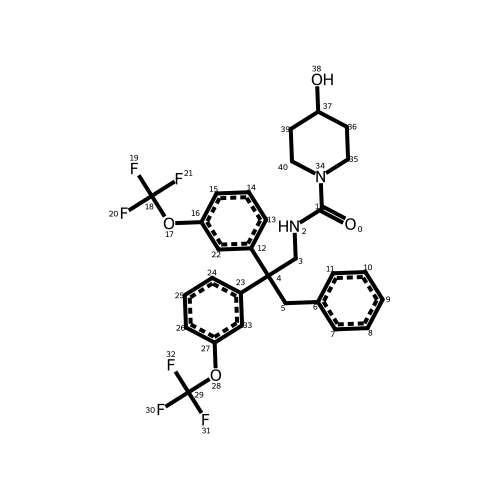 O=C(NCC(Cc1ccccc1)(c1cccc(OC(F)(F)F)c1)c1cccc(OC(F)(F)F)c1)N1CCC(O)CC1